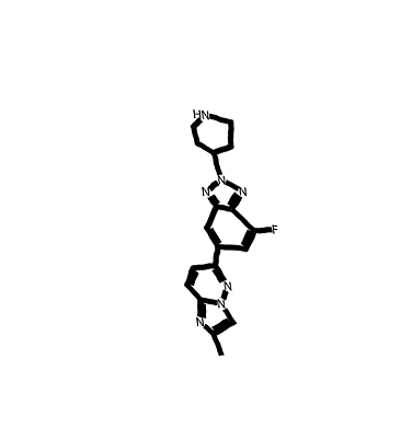 Cc1cn2nc(-c3cc(F)c4nn(C5CCNCC5)nc4c3)ccc2n1